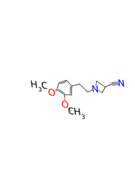 COc1ccc(CCN2CC(C#N)C2)cc1OC